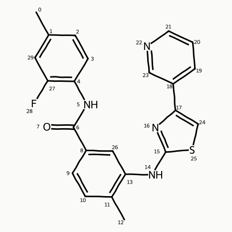 Cc1ccc(NC(=O)c2ccc(C)c(Nc3nc(-c4cccnc4)cs3)c2)c(F)c1